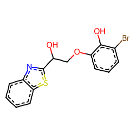 Oc1c(Br)cccc1OCC(O)c1nc2ccccc2s1